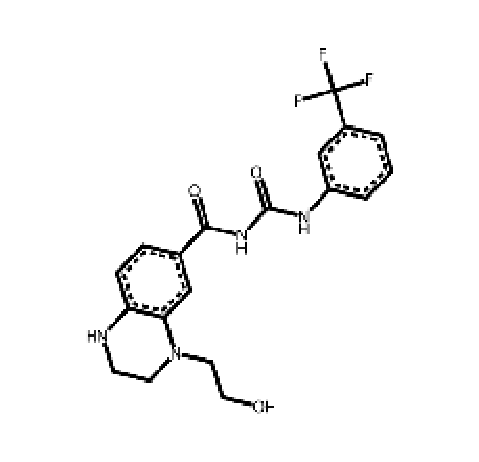 O=C(NC(=O)c1ccc2c(c1)N(CCO)CCN2)Nc1cccc(C(F)(F)F)c1